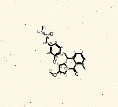 CCc1cccc(C)c1C(=O)N1CC(OC)[C@H](Oc2cccc(C[S+]([O-])NC)c2)C1